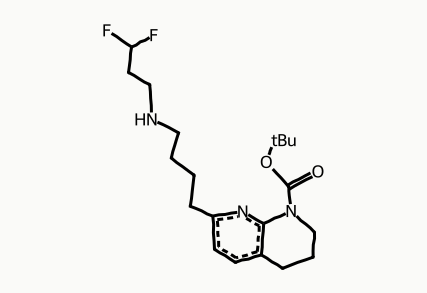 CC(C)(C)OC(=O)N1CCCc2ccc(CCCCNCCC(F)F)nc21